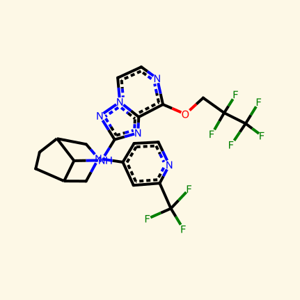 FC(F)(F)c1cc(N2CC3CCC(C2)C3Nc2nc3c(OCC(F)(F)C(F)(F)F)nccn3n2)ccn1